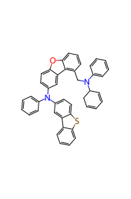 C1=CCC(N(Cc2cccc3oc4ccc(N(c5ccccc5)c5ccc6sc7ccccc7c6c5)cc4c23)c2ccccc2)C=C1